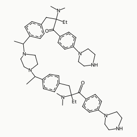 CCC(Cc1ccc(C(C)N2CCN(C(C)c3ccc(CC(CC)(C(=O)c4ccc(N5CCNCC5)cc4)N(C)C)cc3)CC2)cc1)(C(=O)c1ccc(N2CCNCC2)cc1)N(C)C